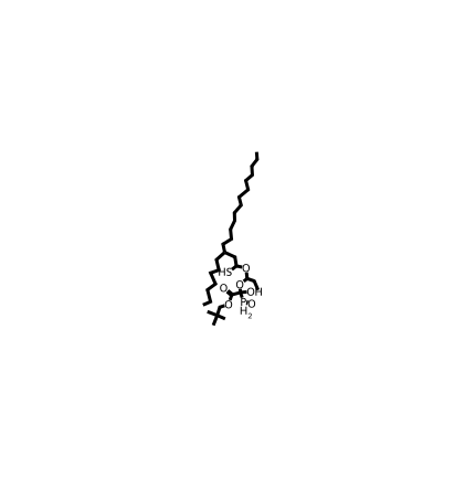 CCCCCCCCCCCCCC(CCCCCCC)CC(S)OC(CC)OC(O)([PH2]=O)C(=O)OCC(C)(C)C